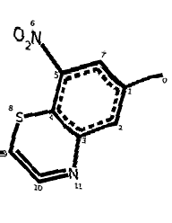 Cc1cc2c(c([N+](=O)[O-])c1)SC=C=N2